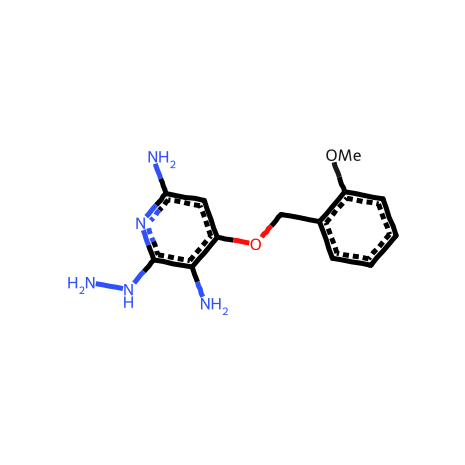 COc1ccccc1COc1cc(N)nc(NN)c1N